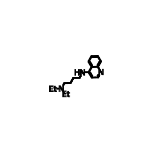 CCN(CC)CCCCNc1ccnc2ccccc12